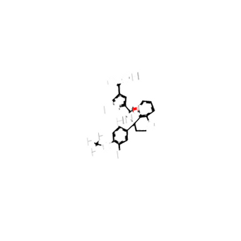 O=C(O)c1c[nH]c(C(=O)NC2(c3ccc(OC(F)(F)F)c(F)c3)CCOc3cccnc32)c1